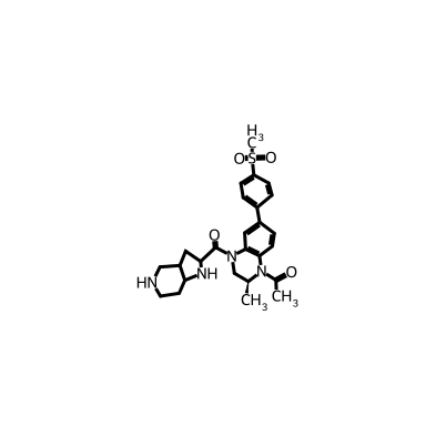 CC(=O)N1c2ccc(-c3ccc(S(C)(=O)=O)cc3)cc2N(C(=O)C2CC3CNCCC3N2)C[C@@H]1C